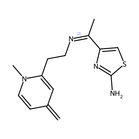 C=C1C=CN(C)C(CC/N=C(/C)c2csc(N)n2)=C1